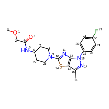 COCC(=O)NC1CCN(c2nc3c(s2)c(C)nn3-c2ccc(F)cc2)CC1